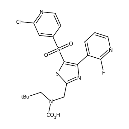 CC(C)(C)CN(Cc1nc(-c2cccnc2F)c(S(=O)(=O)c2ccnc(Cl)c2)s1)C(=O)O